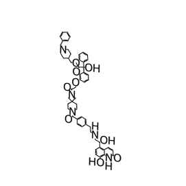 O=C(COc1cccc([C@](O)(C(=O)OCC2CCN(Cc3ccccc3)CC2)c2ccccc2)c1)N1CC2(CCN(C(=O)c3ccc(CCNC[C@H](O)c4ccc(O)c5[nH]c(=O)ccc45)cc3)CC2)C1